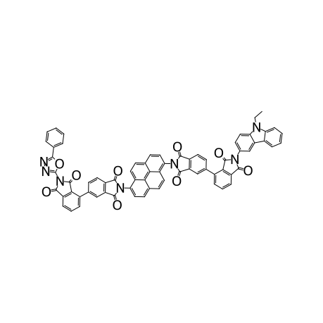 CCn1c2ccccc2c2cc(N3C(=O)c4cccc(-c5ccc6c(c5)C(=O)N(c5ccc7ccc8c(N9C(=O)c%10ccc(-c%11cccc%12c%11C(=O)N(c%11nnc(-c%13ccccc%13)o%11)C%12=O)cc%10C9=O)ccc9ccc5c7c98)C6=O)c4C3=O)ccc21